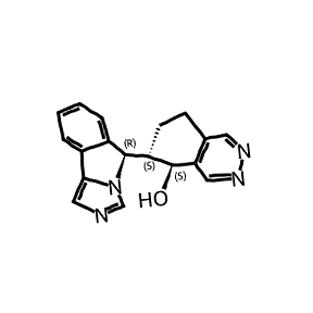 O[C@@H]1c2cnncc2CC[C@H]1[C@@H]1c2ccccc2-c2cncn21